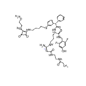 CCC(=O)NCCNC(=O)/N=C(/N)NCCC[C@@H](NC(=O)C(c1ccccc1)c1cccc(OCCCCNc2c(NCCON)c(=O)c2=O)c1)C(=O)NCc1c(F)cc(O)cc1F